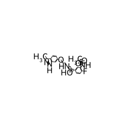 Cc1n[nH]c2cc(OCCNC[C@H](O)c3ccc(F)c(NS(C)(=O)=O)c3)ccc12